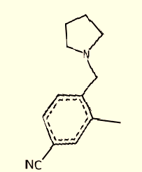 Cc1cc(C#N)ccc1CN1CCCC1